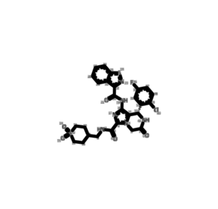 O=C1Cn2c(C(=O)NCC3CCS(=O)(=O)CC3)nc(NC(=O)c3nsc4ccccc34)c2[C@H](c2cc(F)ccc2Cl)N1